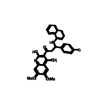 COc1cc2nc(O)c(C(=O)CC(Nc3cccc4ccccc34)c3ccc(Cl)cc3)c(O)c2cc1OC